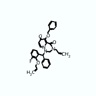 C=CCOc1c(F)cccc1C(c1ccccc1)N1CN(CC=C)C(=O)c2c(OCc3ccccc3)c(=O)ccn21